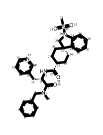 CN(Cc1ccccc1)C(=O)[C@H](Cc1cccnc1)NC(=O)[C@H]1CC[C@]2(CC1)CN(S(C)(=O)=O)c1ccccc12